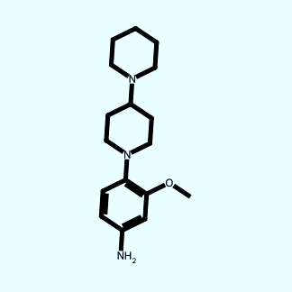 COc1cc(N)ccc1N1CCC(N2CCCCC2)CC1